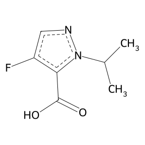 CC(C)n1ncc(F)c1C(=O)O